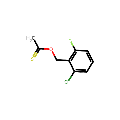 CC(=S)OCc1c(F)cccc1Cl